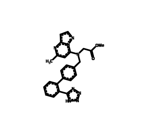 COC(=O)CN(Cc1ccc(-c2ccccc2-c2nnn[nH]2)cc1)c1cc(C)nc2ccnn12